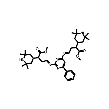 COC(=O)C(CC=Nc1nc(N=CCC(C(=O)OC)C2CC(C)(C)NC(C)(C)C2)nc(-c2ccccc2)n1)C1CC(C)(C)NC(C)(C)C1